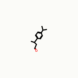 CC(C)c1ccc(C(C)CC=O)cc1